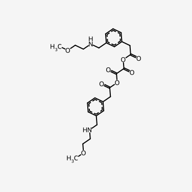 COCCNCc1cccc(CC(=O)OC(=O)C(=O)OC(=O)Cc2cccc(CNCCOC)c2)c1